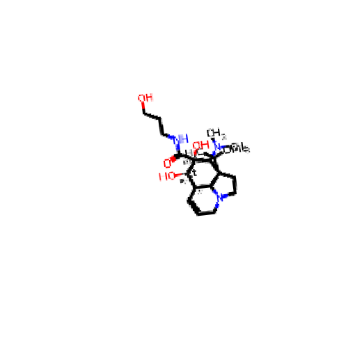 CC[C@@]12C=CCN3CCC(C(C)OC)(C31)C(N(C)C)[C@@](O)(C(=O)NCCCO)[C@@H]2O